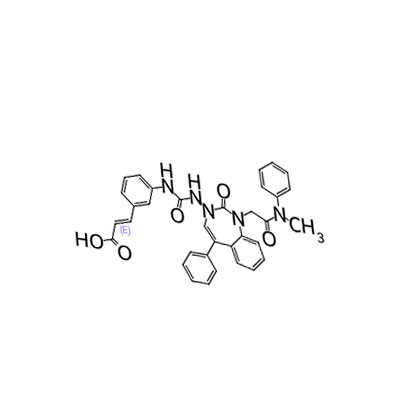 CN(C(=O)CN1C(=O)N(NC(=O)Nc2cccc(/C=C/C(=O)O)c2)C=C(c2ccccc2)c2ccccc21)c1ccccc1